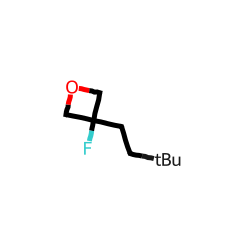 CC(C)(C)CCC1(F)COC1